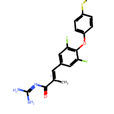 CNSc1ccc(Oc2c(F)cc(/C=C(\C)C(=O)N=C(N)N)cc2F)cc1